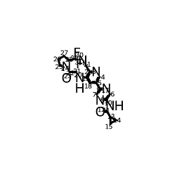 N#Cc1ncc(-c2cnc(NC(=O)C3CC3)cn2)cc1NCC(=O)N1CCCC1C(F)F